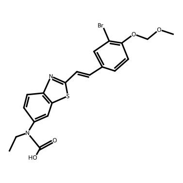 CCN(C(=O)O)c1ccc2nc(C=Cc3ccc(OCOC)c(Br)c3)sc2c1